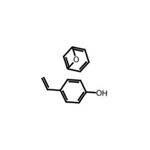 C=Cc1ccc(O)cc1.c1cc2cc(c1)O2